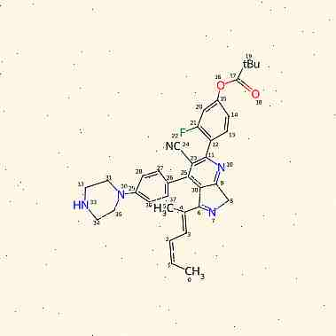 C/C=C\C=C(/C)C1=NCc2nc(-c3ccc(OC(=O)C(C)(C)C)cc3F)c(C#N)c(-c3ccc(N4CCNCC4)cc3)c21